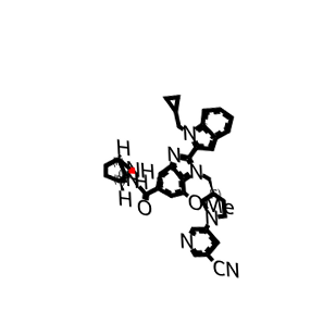 COc1cc(C(=O)N2C[C@H]3CC[C@@H]2[C@@H]3N)cc2nc(-c3cc4ccccc4n3CC3CC3)n(C[C@H]3CCN(c4cncc(C#N)c4)C3)c12